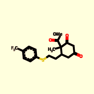 COC(=O)C1(C)C(=O)CC(=O)CC1CCSc1ccc(C(F)(F)F)cc1